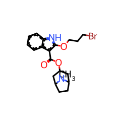 CN1C2CCC1CC(OC(=O)c1c(OCCCBr)[nH]c3ccccc13)C2